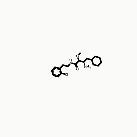 COC(C(=O)NCCc1ccccc1Cl)[C@H](N)CC1CCCCC1